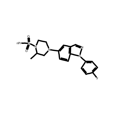 CCCS(=O)(=O)N1CCN(c2ccc3c(cnn3-c3ccc(F)cc3)c2)CC1C